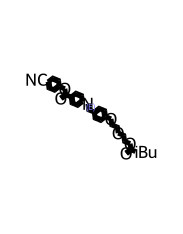 CCC(C)C(=O)OCCOCCOc1ccc(/C=N/c2ccc(C(=O)Oc3ccc(C#N)cc3)cc2)cc1